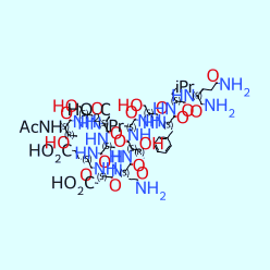 CC(=O)N[C@H](C(=O)N[C@@H](CO)C(=O)N[C@@H](CC(=O)O)C(=O)N[C@@H](C)C(=O)N[C@@H](CCC(=O)O)C(=O)N[C@@H](CC(=O)O)C(=O)N[C@@H](CC(N)=O)C(=O)N[C@H](C(=O)N[C@H](C(=O)N[C@@H](CO)C(=O)N[C@@H](Cc1ccccc1)C(=O)N[C@@H](CC(C)C)C(=O)N[C@@H](CCC(N)=O)C(N)=O)C(C)C)[C@@H](C)O)[C@@H](C)O